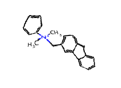 C[N+](C)(Cc1ccc2c(c1)-c1ccccc1C2)c1ccccc1